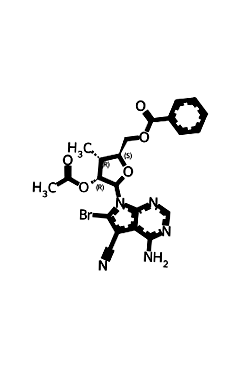 CC(=O)O[C@H]1C(n2c(Br)c(C#N)c3c(N)ncnc32)O[C@H](COC(=O)c2ccccc2)[C@H]1C